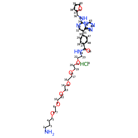 Cl.NCCCCOCCOCCOCCOCCOCCOCCNC(=O)c1ccc(-c2cnc(NCc3ccco3)n3cnnc23)cc1